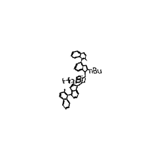 CCCCC1=Cc2c(-c3c(C)ccc4ccccc34)cccc2C1C[SiH2]CC1C(CCCC)=Cc2c(-c3c(C)ccc4ccccc34)cccc21